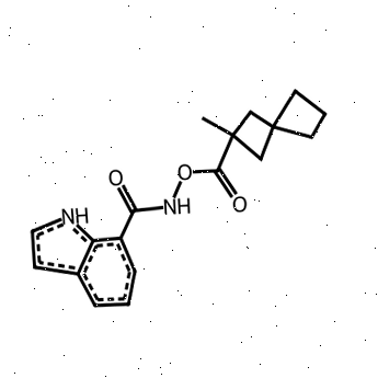 CC1(C(=O)ONC(=O)c2cccc3cc[nH]c23)CC2(CCC2)C1